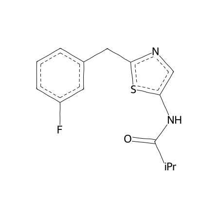 CC(C)C(=O)Nc1cnc(Cc2cccc(F)c2)s1